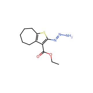 CCOC(=O)c1c(N=NN)sc2c1CCCCC2